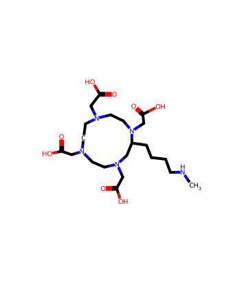 CNCCCCC1CN(CC(=O)O)CCN(CC(=O)O)CCN(CC(=O)O)CCN1CC(=O)O